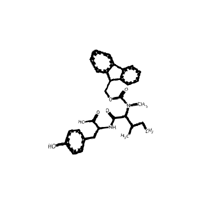 CCC(C)C(C(=O)NC(Cc1ccc(O)cc1)C(=O)O)N(C)C(=O)OCC1c2ccccc2-c2ccccc21